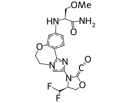 COC[C@H](Nc1ccc2c(c1)OCCn1cc(N3C(=C=O)OC[C@H]3C(F)F)nc1-2)C(N)=O